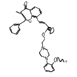 COc1ccccc1N1CCN(CCOC(=O)C=Cc2cccc3c(=O)c(C)c(-c4ccccc4)oc23)CC1